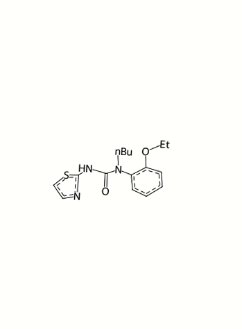 CCCCN(C(=O)Nc1nccs1)c1ccccc1OCC